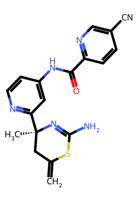 C=C1C[C@@](C)(c2cc(NC(=O)c3ccc(C#N)cn3)ccn2)N=C(N)S1